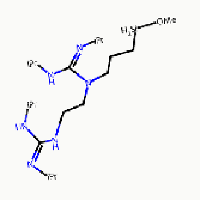 CO[SiH2]CCCN(CCN/C(=N\C(C)C)NC(C)C)/C(=N\C(C)C)NC(C)C